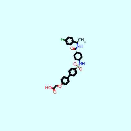 C[C@@H](NC(=O)[C@H]1CC[C@H](NS(=O)(=O)c2ccc(-c3ccc(OCC(=O)O)cc3)cc2)CC1)c1ccc(F)cc1